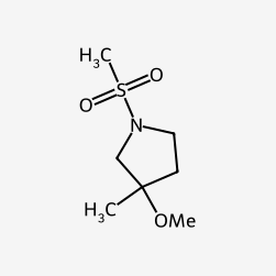 COC1(C)CCN(S(C)(=O)=O)C1